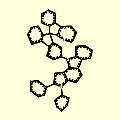 c1ccc(-c2cc3c(ccc4c5ccccc5n(-c5ccc6c(c5)C5(c7ccccc7-c7ccccc75)c5ccccc5-6)c43)n2-c2ccccc2)cc1